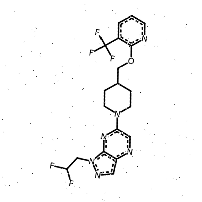 FC(F)Cn1ncc2ncc(N3CCC(COc4ncccc4C(F)(F)F)CC3)nc21